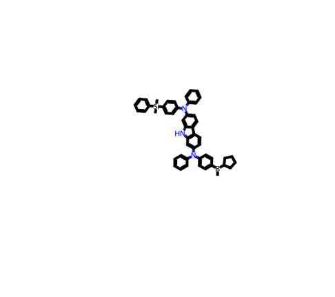 CB(c1ccc(N(c2ccccc2)c2ccc3c(c2)[nH]c2cc(N(c4ccccc4)c4ccc([Si](C)(C)c5ccccc5)cc4)ccc23)cc1)C1CCCC1